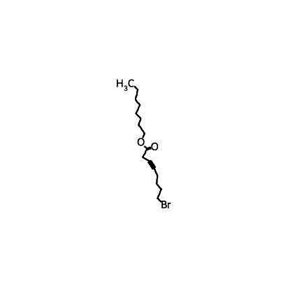 CCCCCCCCOC(=O)CC#CCCCCBr